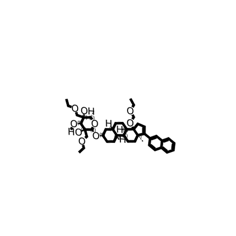 CCOCOC12CC=C(c3ccc4ccccc4c3)[C@@]1(C)CC[C@H]1[C@H]2CC[C@@H]2C[C@@H](O[C@@H]3O[C@@H](C)[C@@](O)(COCC)[C@@H](OC)[C@@]3(O)COCC)CC[C@@]21C